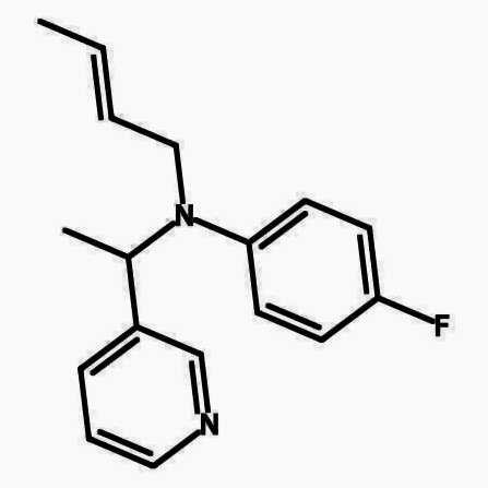 C/C=C/CN(c1ccc(F)cc1)C(C)c1cccnc1